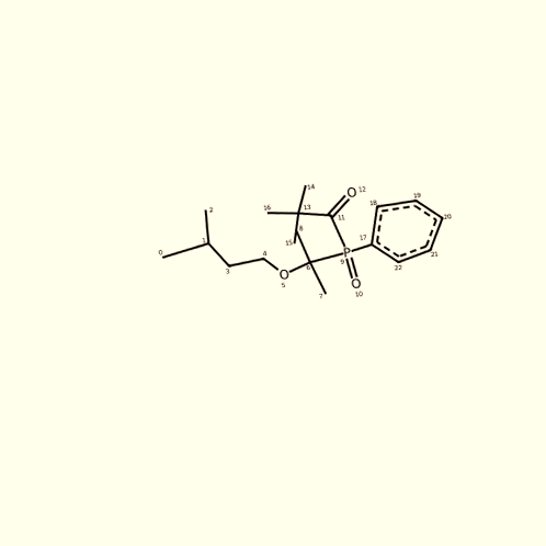 CC(C)CCOC(C)(C)P(=O)(C(=O)C(C)(C)C)c1ccccc1